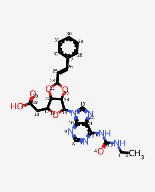 CCNC(=O)Nc1ncnc2c1ncn2C1OC(CC(=O)O)C2OC(C=Cc3ccccc3)OC21